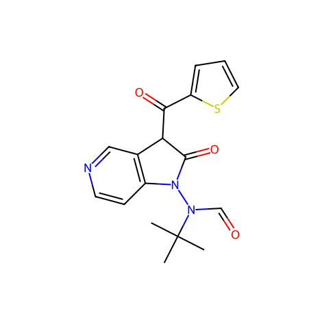 CC(C)(C)N(C=O)N1C(=O)C(C(=O)c2cccs2)c2cnccc21